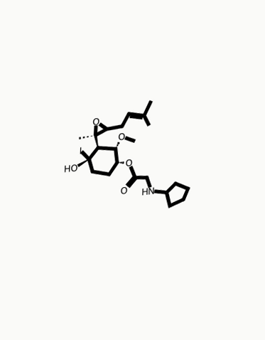 CO[C@@H]1[C@H](OC(=O)CNC2CCCC2)CC[C@](O)(I)[C@H]1[C@@]1(C)OC1CC=C(C)C